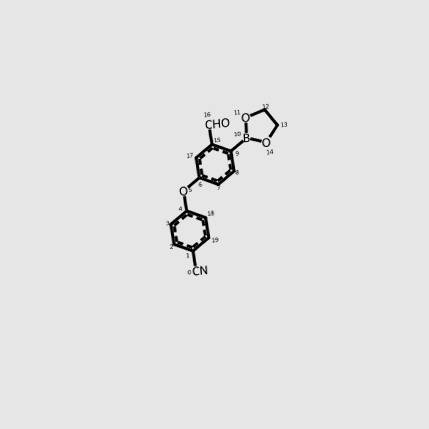 N#Cc1ccc(Oc2ccc(B3OCCO3)c(C=O)c2)cc1